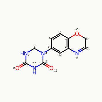 O=C1NCN(c2ccc3c(c2)N=CCO3)C(=O)N1